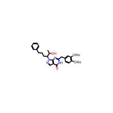 COc1ccc(Cc2nc3c(cnn3C(CCCc3ccccc3)C(C)O)c(=O)[nH]2)cc1OC